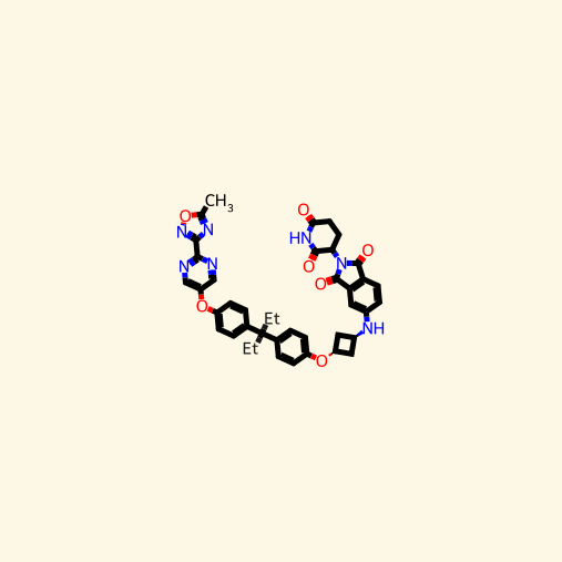 CCC(CC)(c1ccc(Oc2cnc(-c3noc(C)n3)nc2)cc1)c1ccc(O[C@H]2C[C@H](Nc3ccc4c(c3)C(=O)N(C3CCC(=O)NC3=O)C4=O)C2)cc1